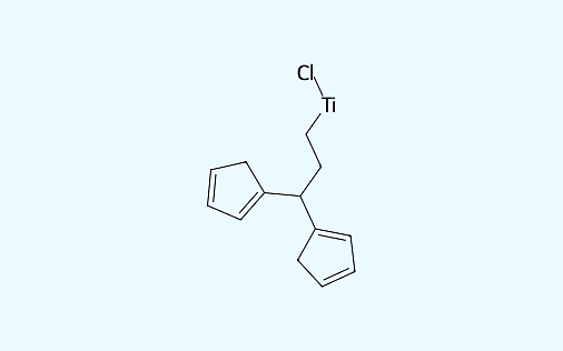 [Cl][Ti][CH2]CC(C1=CC=CC1)C1=CC=CC1